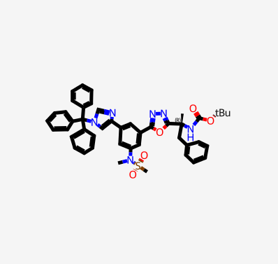 CN(c1cc(-c2cn(C(c3ccccc3)(c3ccccc3)c3ccccc3)cn2)cc(-c2nnc([C@@](C)(Cc3ccccc3)NC(=O)OC(C)(C)C)o2)c1)S(C)(=O)=O